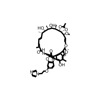 CO[C@H]1/C=C/O[C@@]2(C)Oc3c(C)c(O)c4c(=O)c(c5oc6cc(OCCn7ccnc7)ccc6nc-5c4c3C2=O)NC(=O)/C(C)=C\C=C\[C@H](C)[C@H](O)[C@@H](C)[C@@H](O)[C@@H](C)[C@H](OC(C)=O)[C@@H]1C